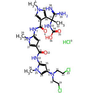 Cl.Cn1cc(C(=O)Nc2cc(C(=O)Nc3cc(N(CCCl)CCCl)cn3C)cn2C)c(C(C)(NC(=O)O)C(=N)N)c1